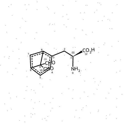 N[C@@H](Cc1ccc2cc1C2(C=O)C=O)C(=O)O